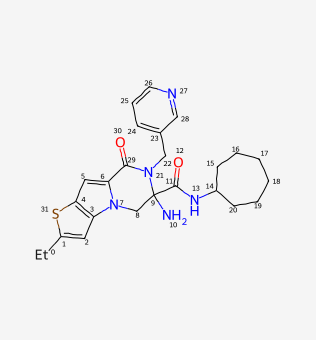 CCc1cc2c(cc3n2CC(N)(C(=O)NC2CCCCCC2)N(Cc2cccnc2)C3=O)s1